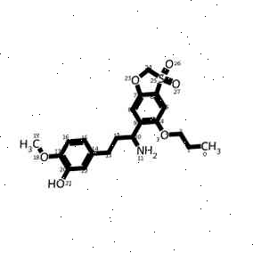 CCCOc1cc2c(cc1C(N)CCc1ccc(OC)c(O)c1)OCS2(=O)=O